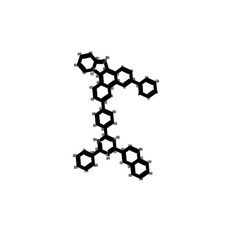 c1ccc(-c2ccc3c(c2)c2cc(-c4ccc(-c5nc(-c6ccccc6)nc(-c6ccc7ccccc7c6)n5)cc4)ccc2c2c3nc3ccccn32)cc1